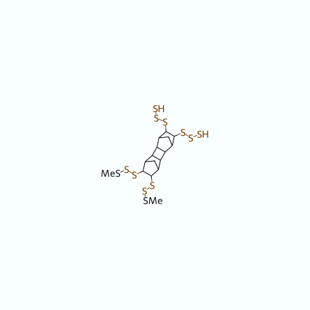 CSSSC1C2CC(C1SSSC)C1C3C4CC(C(SSS)C4SSS)C3C21